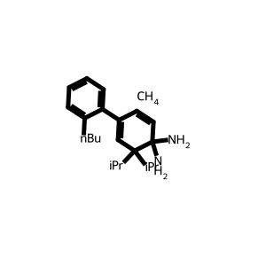 C.CCCCc1ccccc1C1=CC(C(C)C)(C(C)C)C(N)(N)C=C1